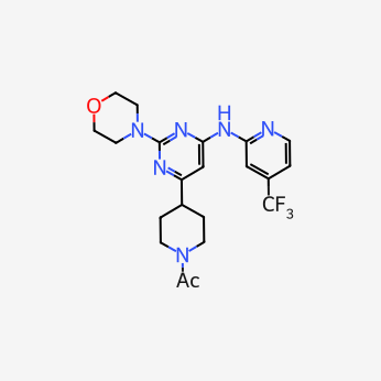 CC(=O)N1CCC(c2cc(Nc3cc(C(F)(F)F)ccn3)nc(N3CCOCC3)n2)CC1